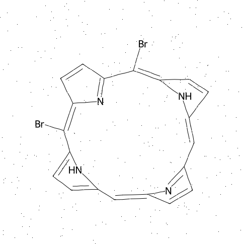 Brc1c2nc(c(Br)c3ccc(cc4nc(cc5ccc1[nH]5)C=C4)[nH]3)C=C2